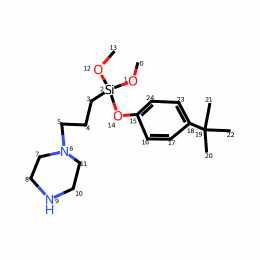 CO[Si](CCCN1CCNCC1)(OC)Oc1ccc(C(C)(C)C)cc1